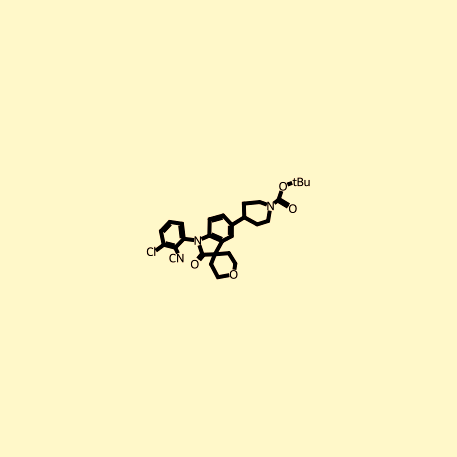 CC(C)(C)OC(=O)N1CCC(c2ccc3c(c2)C2(CCOCC2)C(=O)N3c2cccc(Cl)c2C#N)CC1